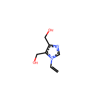 C=Cn1cnc(CO)c1CO